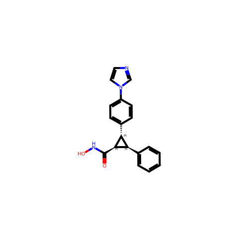 O=C(NO)[C@@H]1[C@H](c2ccccc2)[C@H]1c1ccc(-n2ccnc2)cc1